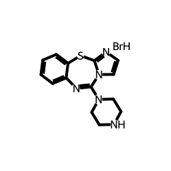 Br.c1ccc2c(c1)N=C(N1CCNCC1)n1ccnc1S2